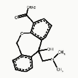 COC(=O)c1cccc2c1OCc1ccccc1C2(O)CN(C)C